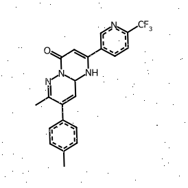 CC1=NN2C(=O)C=C(c3ccc(C(F)(F)F)nc3)NC2C=C1c1ccc(C)cc1